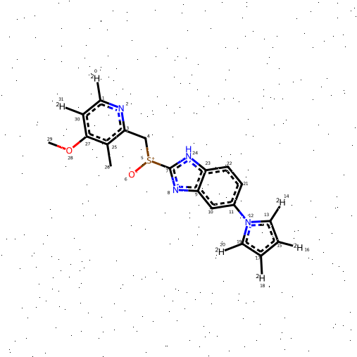 [2H]c1nc(C[S+]([O-])c2nc3cc(-n4c([2H])c([2H])c([2H])c4[2H])ccc3[nH]2)c(C)c(OC)c1[2H]